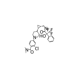 CN(C)C(=O)c1ccc(N2CCC([C@H]3C[C@H]3CN(C)C(=O)C(O)(c3ccccc3)C(F)(F)F)CC2)cc1Cl